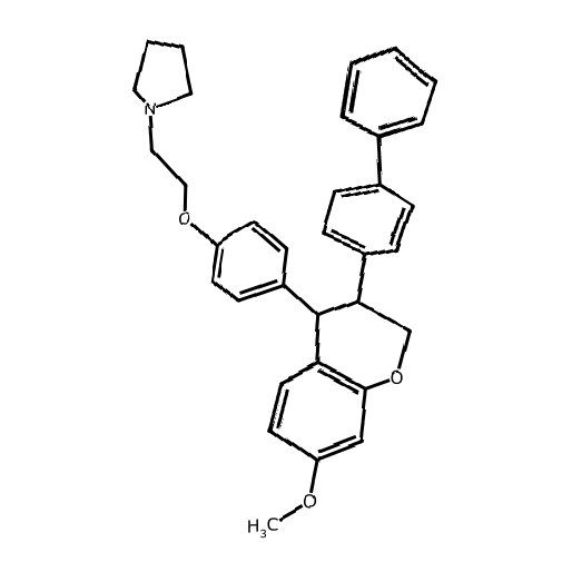 COc1ccc2c(c1)OCC(c1ccc(-c3ccccc3)cc1)C2c1ccc(OCCN2CCCC2)cc1